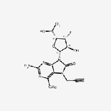 C#CCn1c(=O)n([C@@H]2O[C@H](C(O)C(F)(F)F)[C@H](F)[C@H]2O)c2nc(N)nc(OC)c21